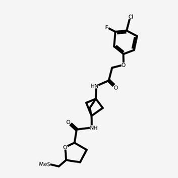 CSCC1CCC(C(=O)NC23CC(NC(=O)COc4ccc(Cl)c(F)c4)(C2)C3)O1